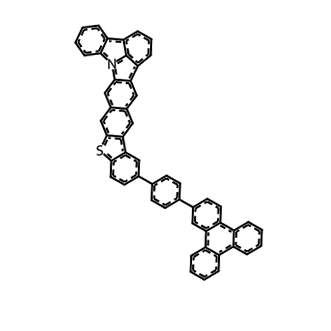 c1ccc2c(c1)c1ccccc1c1cc(-c3ccc(-c4ccc5sc6cc7cc8c(cc7cc6c5c4)c4cccc5c6ccccc6n8c54)cc3)ccc21